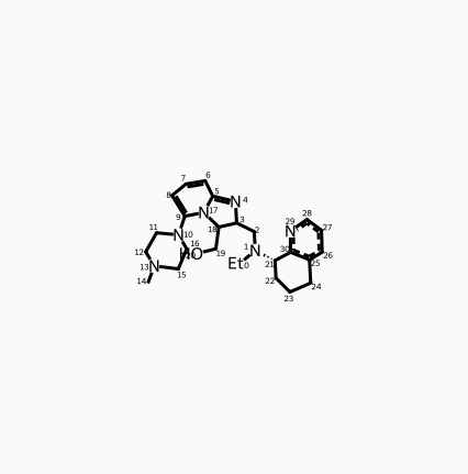 CCN(CC1N=C2C=CC=C(N3CCN(C)CC3)N2C1CO)[C@H]1CCCc2cccnc21